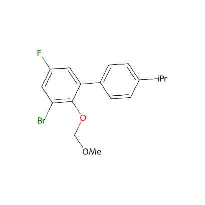 COCOc1c(Br)cc(F)cc1-c1ccc(C(C)C)cc1